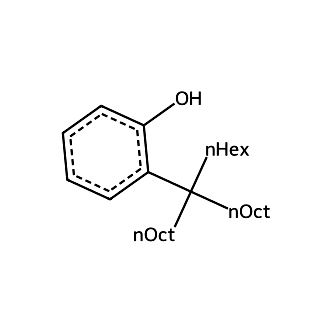 CCCCCCCCC(CCCCCC)(CCCCCCCC)c1ccccc1O